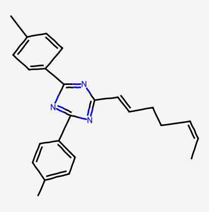 C/C=C\CC/C=C/c1nc(-c2ccc(C)cc2)nc(-c2ccc(C)cc2)n1